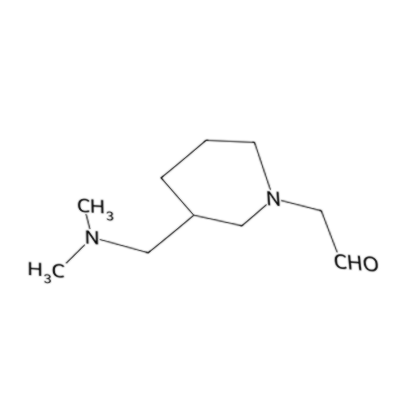 CN(C)CC1CCCN(CC=O)C1